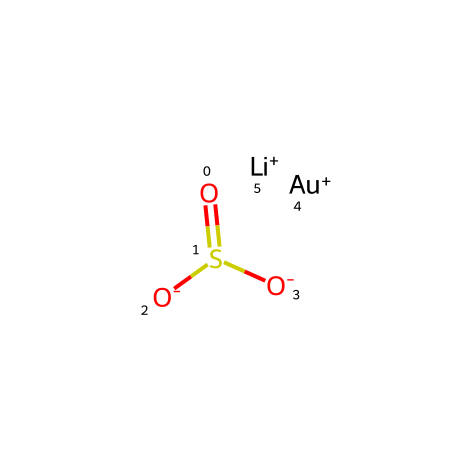 O=S([O-])[O-].[Au+].[Li+]